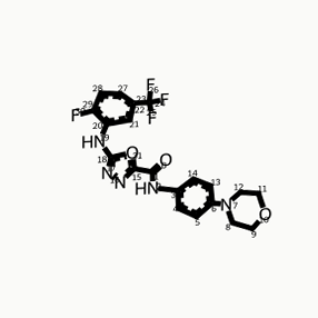 O=C(Nc1ccc(N2CCOCC2)cc1)c1nnc(Nc2cc(C(F)(F)F)ccc2F)o1